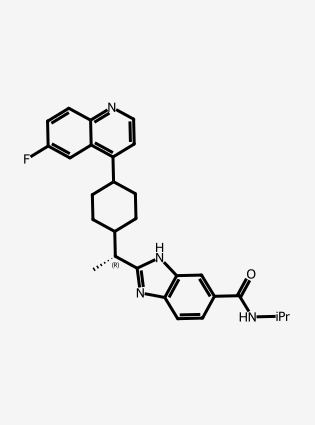 CC(C)NC(=O)c1ccc2nc([C@H](C)C3CCC(c4ccnc5ccc(F)cc45)CC3)[nH]c2c1